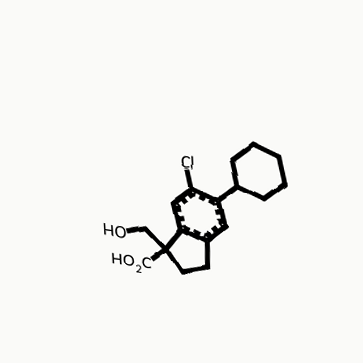 O=C(O)C1(CO)CCc2cc(C3CCCCC3)c(Cl)cc21